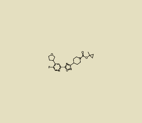 CC1(OC(=O)N2CCC(c3noc(-c4cc(C5CCOC5)c(F)cn4)n3)CC2)CC1